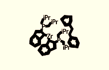 CC(C)CP(CC(C)C)C1=Cc2ccccc2[CH]1[Zr][CH]1C(P(CC(C)C)CC(C)C)=Cc2ccccc21.c1ccc(CCc2ccccc2)cc1